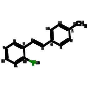 Cc1ccc(C=Cc2ccccc2F)cc1